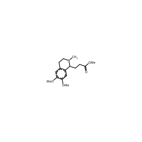 COC(=O)CCC1c2cc(OC)c(OC)cc2CCN1C